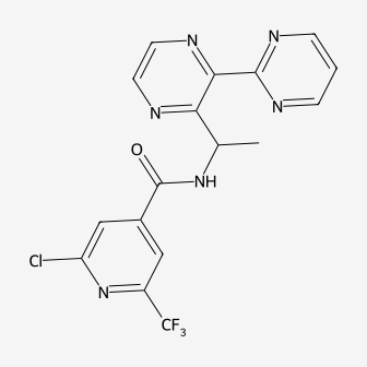 CC(NC(=O)c1cc(Cl)nc(C(F)(F)F)c1)c1nccnc1-c1ncccn1